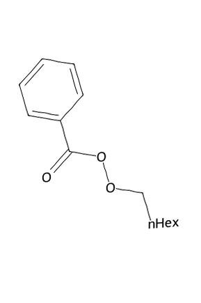 CCCCCCCOOC(=O)c1ccccc1